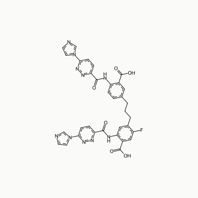 O=C(Nc1ccc(CCCc2cc(NC(=O)c3ccc(-n4ccnc4)nn3)c(C(=O)O)cc2F)cc1C(=O)O)c1ccc(-n2ccnc2)nn1